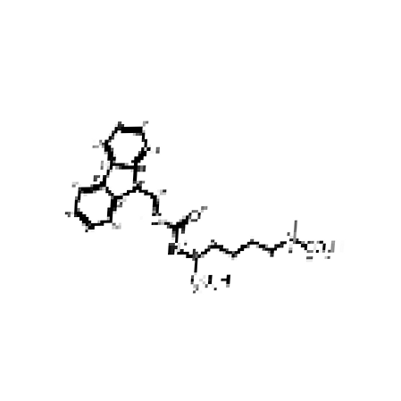 O=C(O)NCCCC[C@H](NC(=O)OCC1c2ccccc2-c2ccccc21)C(=O)O